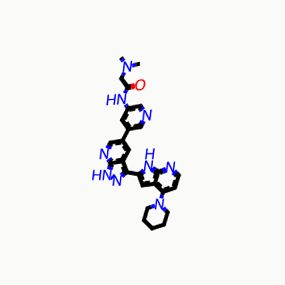 CN(C)CC(=O)Nc1cncc(-c2cnc3[nH]nc(-c4cc5c(N6CCCCC6)ccnc5[nH]4)c3c2)c1